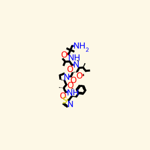 CC[C@H](C)[C@@H]([C@@H](CC(=O)N1CCC[C@H]1[C@H](OC)[C@@H](C)C(=O)N[C@@H](Cc1ccccc1)c1nccs1)OC)N(C)C(=O)[C@@H](NC(=O)C(C)(C)CN)C(C)C